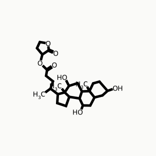 CC(CCC(=O)OC1CCOC1=O)C1CCC2C3C(O)CC4CC(O)CCC4(C)C3CC(O)C12C